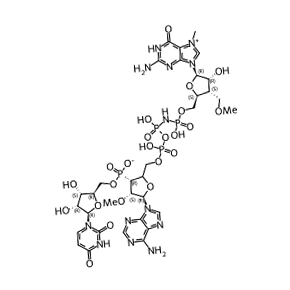 COC[C@H]1[C@@H](O)[C@H](n2c[n+](C)c3c(=O)[nH]c(N)nc32)O[C@@H]1COP(=O)(O)NP(=O)(O)OP(=O)(O)OCC1O[C@@H](n2cnc3c(N)ncnc32)[C@H](OC)[C@@H]1P(=O)([O-])OC[C@H]1O[C@@H](n2ccc(=O)[nH]c2=O)[C@H](O)[C@@H]1O